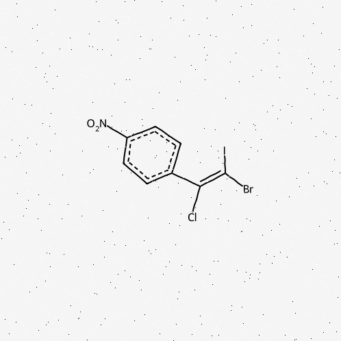 O=[N+]([O-])c1ccc(/C(Cl)=C(/Br)I)cc1